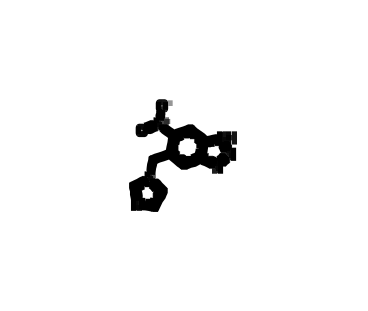 O=[N+]([O-])c1cc2[nH]nnc2cc1Cn1ccnc1